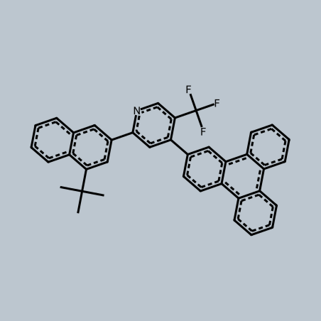 CC(C)(C)c1cc(-c2cc(-c3ccc4c5ccccc5c5ccccc5c4c3)c(C(F)(F)F)cn2)cc2ccccc12